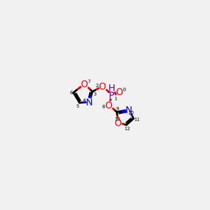 O=[PH](Oc1ncco1)Oc1ncco1